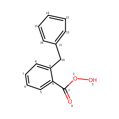 O=C(OO)c1ccccc1Cc1ccccc1